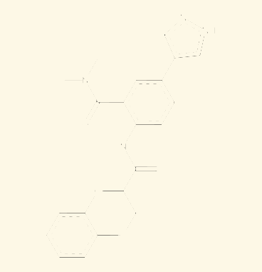 CN(C)C(=O)c1cc(-c2cn[nH]c2)ccc1NC(=O)C1COc2ccccc2O1